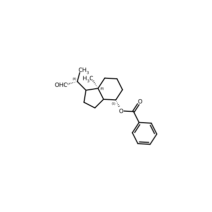 C[C@@H](C=O)C1CCC2[C@@H](OC(=O)c3ccccc3)CCC[C@@]21C